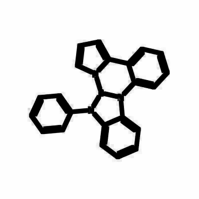 c1ccc(N2B3N(c4ccccc4-c4cccn43)c3ccccc32)cc1